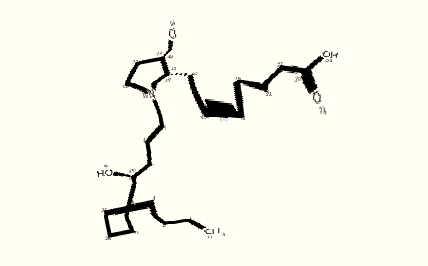 CCCCC1([C@@H](O)CCCN2CC[C@@H](Cl)[C@@H]2C/C=C\CCCC(=O)O)CCC1